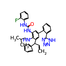 C=CC(c1ccccc1)c1cc(-c2ccccc2-c2nnn[nH]2)cc(NC(=O)Nc2ccccc2F)c1NCC(C)C